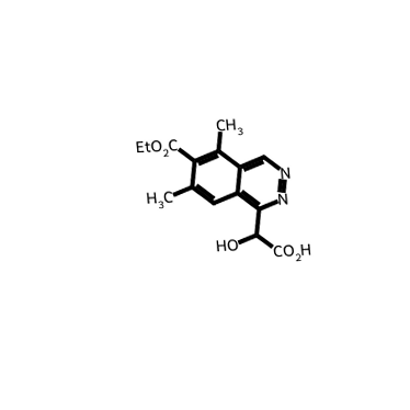 CCOC(=O)c1c(C)cc2c(C(O)C(=O)O)nncc2c1C